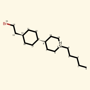 CCCCC[SiH]1CCC([C@H]2CC[C@H](CCBr)CC2)CC1